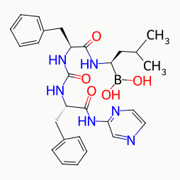 CC(C)C[C@H](NC(=O)[C@H](Cc1ccccc1)NC(=O)N[C@@H](Cc1ccccc1)C(=O)Nc1cnccn1)B(O)O